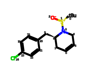 CC(C)(C)[S@+]([O-])N1CC=CC[C@@H]1Cc1ccc(Cl)cc1